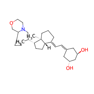 CC(CN1CCOCC1C1CC1)[C@H]1CC[C@H]2C(=CC=C3C[C@@H](O)C[C@H](O)C3)CCC[C@]12C